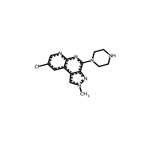 Cn1cc2c(n1)c(N1CCNCC1)nc1ncc(Cl)cc12